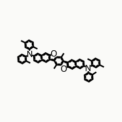 Cc1ccc(C)c(N(c2ccc3cc4c(cc3c2)oc2c(C)c3c(oc5cc6cc(N(c7ccccc7C)c7cc(C)ccc7C)ccc6cc53)c(C)c24)c2ccccc2C)c1